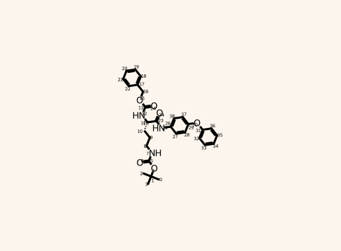 CC(C)(C)OC(=O)NCCC[C@H](NC(=O)OCc1ccccc1)C(=O)Nc1ccc(Oc2ccccc2)cc1